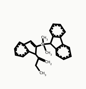 C=C(CC)C1C([Si](C)(C)C2c3ccccc3-c3ccccc32)=Cc2ccccc21